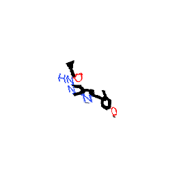 COc1ccc(-c2cc3cc(NC(=O)C4CC4)ncc3n2C)c(C)c1